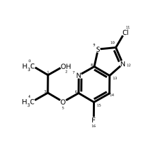 CC(O)C(C)Oc1nc2sc(Cl)nc2cc1F